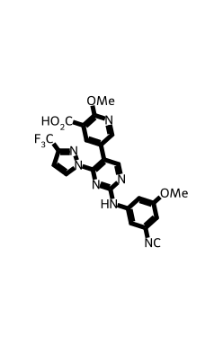 [C-]#[N+]c1cc(Nc2ncc(-c3cnc(OC)c(C(=O)O)c3)c(-n3ccc(C(F)(F)F)n3)n2)cc(OC)c1